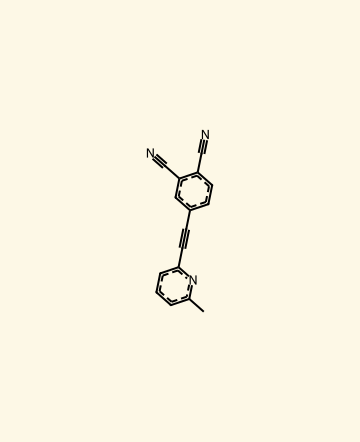 Cc1cccc(C#Cc2ccc(C#N)c(C#N)c2)n1